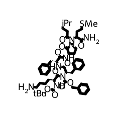 CSCCC(C(N)=O)N(C(=O)CCC(C)C)N1CC[C@H](NC(=O)[C@@H](Cc2ccccc2)NC(=O)[C@@H](Cc2ccccc2)N(C(=O)OCc2ccccc2)C(=O)[C@H](CCCCN)NC(=O)OC(C)(C)C)C1=O